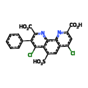 O=C(O)c1cc(Cl)c2cc(S(=O)(=O)O)c3c(Cl)c(-c4ccccc4)c(C(=O)O)nc3c2n1